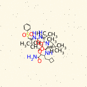 CC(C)(C)[C@H](NC(=O)N[C@H](CS(=O)(=O)c1ccccc1)C(C)(C)C)C(=O)N1CC2[C@@H]([C@H]1C(=O)NC(CC1CCC1)C(=O)C(N)=O)C2(C)C